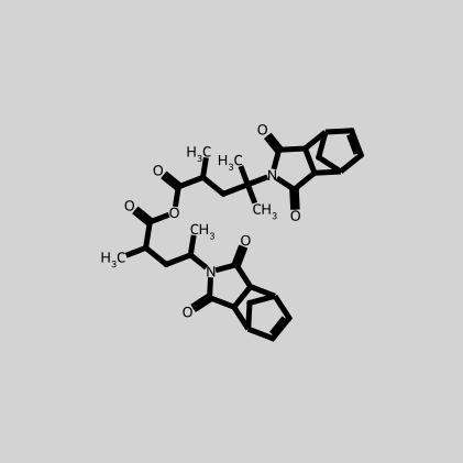 CC(CC(C)N1C(=O)C2C3C=CC(C3)C2C1=O)C(=O)OC(=O)C(C)CC(C)(C)N1C(=O)C2C3C=CC(C3)C2C1=O